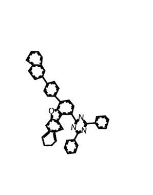 C1=c2cc3oc4c(-c5ccc(-c6ccc7ccccc7c6)cc5)ccc(-c5nc(-c6ccccc6)nc(-c6ccccc6)n5)c4c3cc2=CCC1